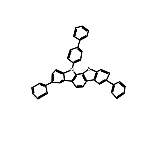 c1ccc(-c2ccc(-n3c4ccc(-c5ccccc5)cc4c4ccc5c6cc(-c7ccccc7)ccc6sc5c43)cc2)cc1